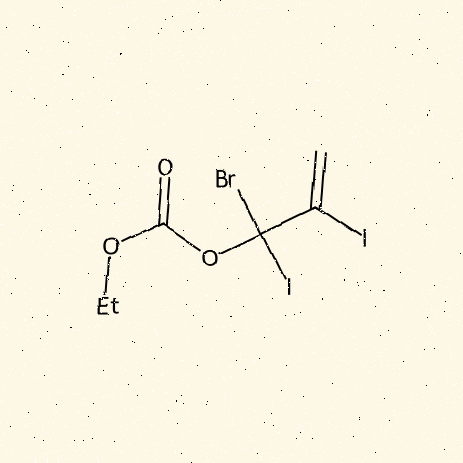 C=C(I)C(Br)(I)OC(=O)OCC